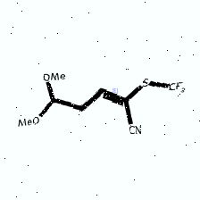 COC(C/C=C(\C#N)SC(F)(F)F)OC